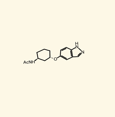 CC(=O)N[C@H]1CCC[C@H](Oc2ccc3[nH]ncc3c2)C1